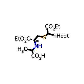 CCCCCCCC(SC[C@H](NC(C)C(=O)O)C(=O)OCC)C(=O)OCC